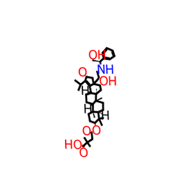 CC(C)C1=C2[C@H]3CC[C@@H]4[C@@]5(C)CC[C@H](OC(=O)CC(C)(C)C(=O)O)C(C)(C)[C@@H]5CC[C@@]4(C)[C@]3(C)CCC2(C(O)CN[C@@H](CO)c2ccccc2)CC1=O